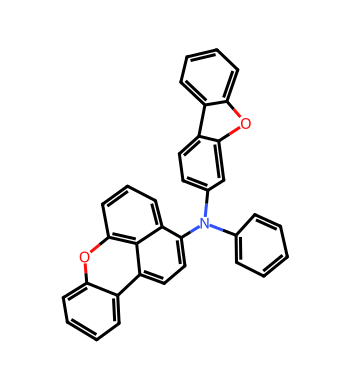 c1ccc(N(c2ccc3c(c2)oc2ccccc23)c2ccc3c4c(cccc24)Oc2ccccc2-3)cc1